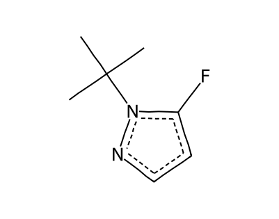 CC(C)(C)n1nccc1F